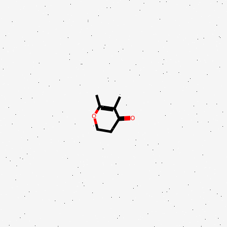 CC1=C(C)C(=O)CCO1